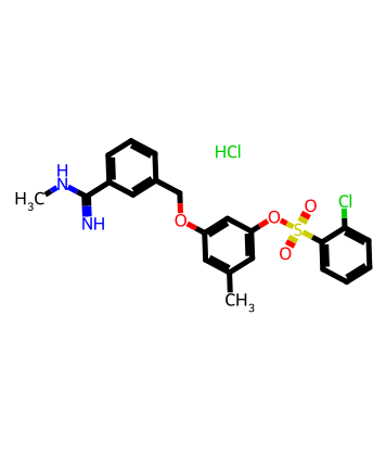 CNC(=N)c1cccc(COc2cc(C)cc(OS(=O)(=O)c3ccccc3Cl)c2)c1.Cl